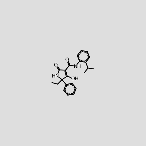 CCC1(c2ccccc2)NC(=O)C(C(=O)Nc2ccccc2C(C)C)=C1O